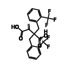 C=C(C(=O)O)C(Cc1ccccc1C(F)(F)F)(Cc1ccccc1C(F)(F)F)C(=O)O